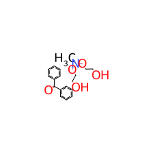 CN(OCCO)OCCO.O=C(c1ccccc1)c1ccccc1